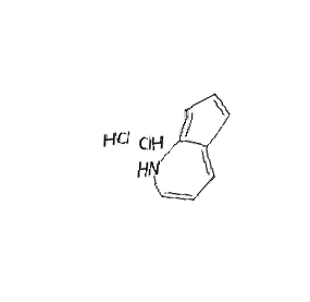 Cl.Cl.c1c[nH]c2cccc-2c1